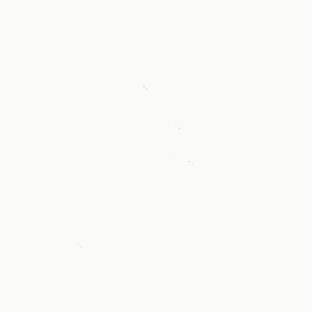 N#Cc1ccc(CCC(=O)N2CCCc3cccc(N(CC(=O)Nc4ccccc4)Cc4ccccc4)c32)cc1